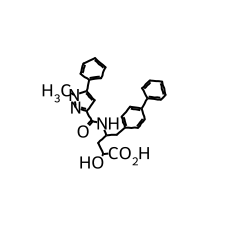 Cn1nc(C(=O)NC(Cc2ccc(-c3ccccc3)cc2)CC(O)C(=O)O)cc1-c1ccccc1